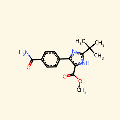 COC(=O)c1[nH]c(C(C)(C)C)nc1-c1ccc(C(N)=O)cc1